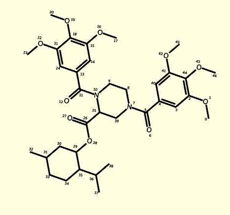 COc1cc(C(=O)N2CCN(C(=O)c3cc(OC)c(OC)c(OC)c3)C(C(=O)OC3CC(C)CCC3C(C)C)C2)cc(OC)c1OC